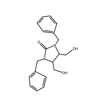 O=C1N(Cc2ccccc2)C(CO)C(CO)N1Cc1ccccc1